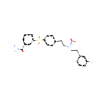 CN(C)C(=O)c1cccc(S(=O)(=O)c2ccc(CCN(C[C@H](O)c3cccc(Cl)c3)C(=O)O)cc2)c1